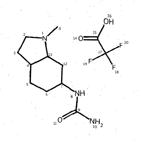 CN1CCC2CCC(NC(N)=O)CC21.O=C(O)C(F)(F)F